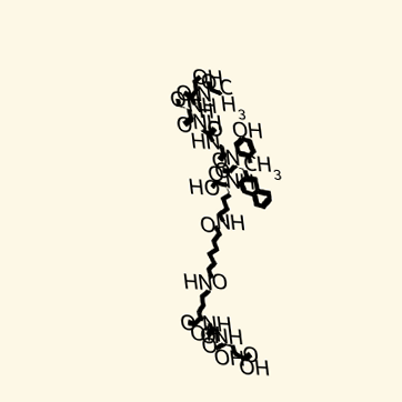 CCC(=O)NC(CO)C(=O)N[C@@H](CO)C(=O)NCC(=O)NCC(=O)N(c1cc(O)ccc1C)[C@H](Cc1ccc2ccccc2c1)C(=O)N[C@H](CCCCNC(=O)CCCCCCC(=O)NCCCCC(NC(=O)N[C@@H](CCC(=O)O)C(=O)O)C(=O)O)C(=O)O